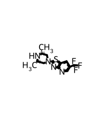 C[C@@H]1CN(c2nc3ncc(C(F)(F)F)cc3s2)C[C@@H](C)N1